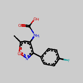 Cc1onc(-c2ccc(F)cc2)c1NC(=O)O